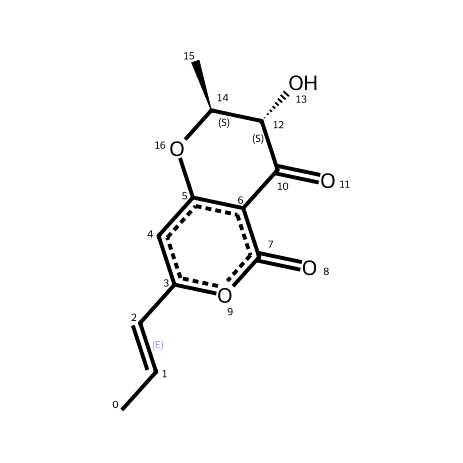 C/C=C/c1cc2c(c(=O)o1)C(=O)[C@@H](O)[C@H](C)O2